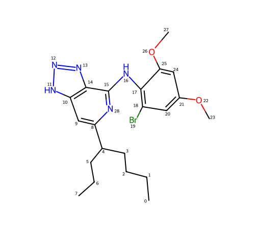 CCCCC(CCC)c1cc2[nH]nnc2c(Nc2c(Br)cc(OC)cc2OC)n1